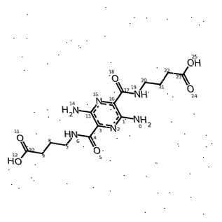 Nc1nc(C(=O)NCCCC(=O)O)c(N)nc1C(=O)NCCCC(=O)O